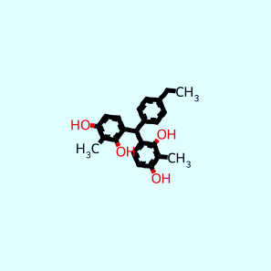 CCc1ccc(C(c2ccc(O)c(C)c2O)c2ccc(O)c(C)c2O)cc1